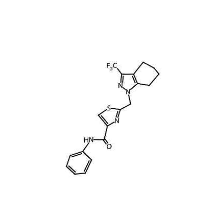 O=C(Nc1ccccc1)c1csc(Cn2nc(C(F)(F)F)c3c2CCCC3)n1